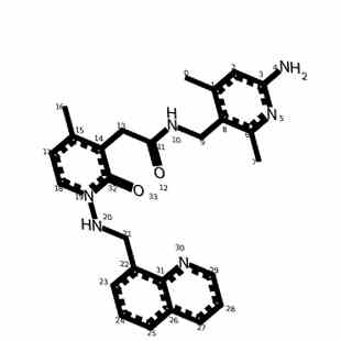 Cc1cc(N)nc(C)c1CNC(=O)Cc1c(C)ccn(NCc2cccc3cccnc23)c1=O